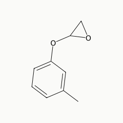 Cc1cccc(OC2CO2)c1